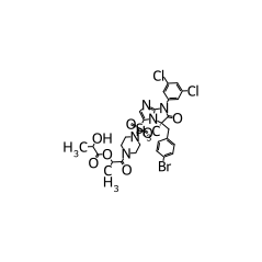 CC(O)C(=O)OC(C)C(=O)N1CCN(S(=O)(=O)c2cnc3n2[C@](C)(Cc2ccc(Br)cc2)C(=O)N3c2cc(Cl)cc(Cl)c2)CC1